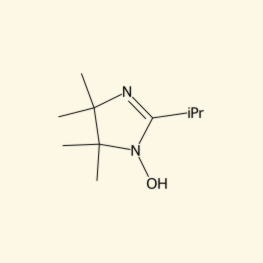 CC(C)C1=NC(C)(C)C(C)(C)N1O